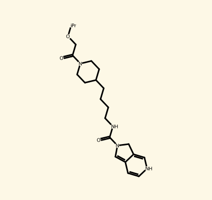 CC(C)OCC(=O)N1CCC(CCCCNC(=O)N2C=C3C=CNC=C3C2)CC1